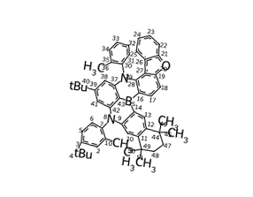 Cc1cc(C(C)(C)C)ccc1N1c2cc3c(cc2B2c4ccc5oc6ccccc6c5c4N(c4ccccc4C)c4cc(C(C)(C)C)cc1c42)C(C)(C)CCC3(C)C